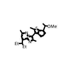 CCC(CC)c1cc(C)nn2c(-c3c(C)sc4c(C(C)OC)cccc34)c(C)nc12